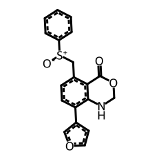 O=C1OCNc2c(-c3ccoc3)ccc(C[S+]([O-])c3ccccc3)c21